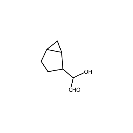 O=CC(O)C1CCC2CC21